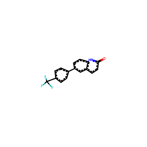 O=c1ccc2cc(-c3ccc(C(F)(F)F)cc3)ccc2[nH]1